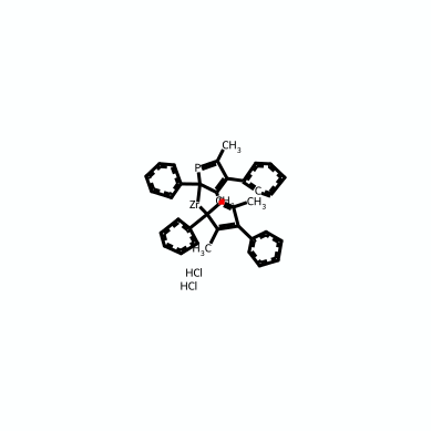 CC1=P[C]([Zr][C]2(c3ccccc3)P=C(C)C(c3ccccc3)=C2C)(c2ccccc2)C(C)=C1c1ccccc1.Cl.Cl